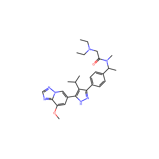 CCN(CC)CC(=O)N(C)C(C)c1ccc(-c2n[nH]c(-c3cc(OC)c4ncnn4c3)c2C(C)C)cc1